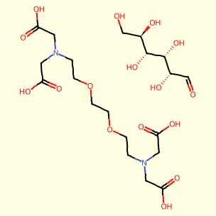 O=C(O)CN(CCOCCOCCN(CC(=O)O)CC(=O)O)CC(=O)O.O=C[C@H](O)[C@@H](O)[C@H](O)[C@H](O)CO